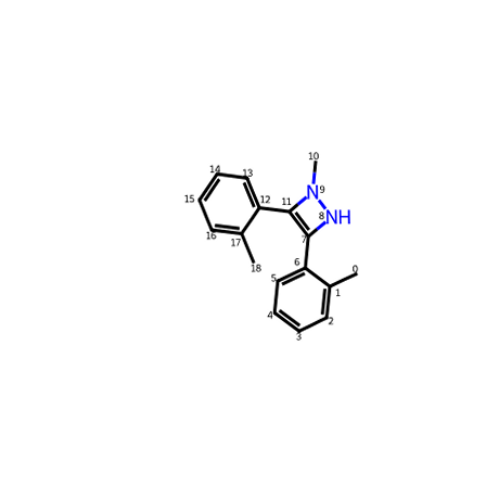 Cc1ccccc1-c1[nH]n(C)c1-c1ccccc1C